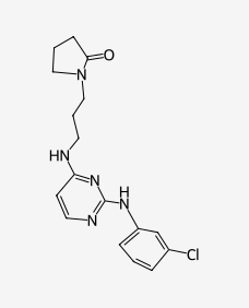 O=C1CCCN1CCCNc1ccnc(Nc2cccc(Cl)c2)n1